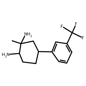 CC1(N)CC(c2cccc(C(F)(F)F)c2)CCC1N